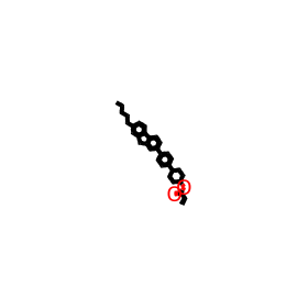 C=CC(=O)OC1CCC(c2ccc(-c3ccc4c(c3)Cc3cc(CCCCC)ccc3-4)cc2)CC1